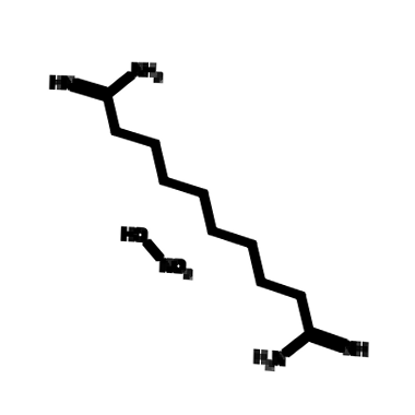 N=C(N)CCCCCCCCC(=N)N.O=[N+]([O-])O